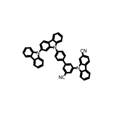 N#Cc1cc(-c2ccc(-n3c4ccccc4c4ccc(-n5c6ccccc6c6ccccc65)cc43)cc2)cc(-n2c3ccccc3c3ccc(C#N)cc32)c1